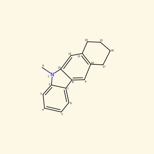 Cn1c2ccccc2c2cc3c(cc21)CCCC3